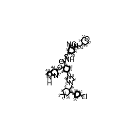 CC1(C)CCC(CN2CCN(c3ccc(C(=O)NSc4ccc(NCC5CCOCC5)c([N+](=O)[O-])c4)c(Oc4cnc5[nH]ccc5c4)c3)CC2)=C(c2ccc(Cl)cc2)C1